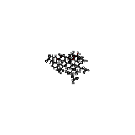 C=C1C[C@@]23CCC4[C@@](C)(CCC[C@@]4(C)C(=O)O)C2CC[C@@]1(OC1OC(COC(C)=O)C(OC(C)=O)C(OC2OC(COC(C)=O)C(OC(C)=O)C(OC(C)=O)C2OC(C)=O)C1OC1OC(COC(C)=O)C(OC(C)=O)C(OC(C)=O)C1OC(C)=O)C3